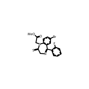 COC(=O)CN1C(=S)CN=C(c2ccccc2F)c2cc(Br)ccc21